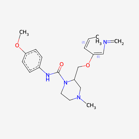 C=N/C=C(\C=C/C)OCC1CN(C)CCN1C(=O)Nc1ccc(OC)cc1